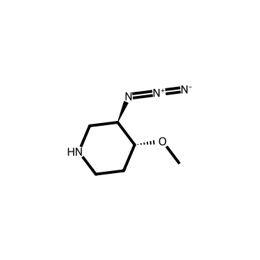 CO[C@@H]1CCNC[C@H]1N=[N+]=[N-]